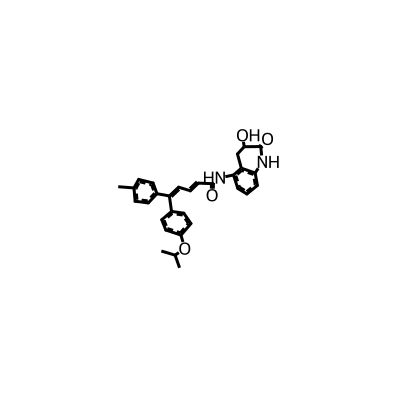 Cc1ccc(C(=CC=CC(=O)Nc2cccc3c2CC(O)C(=O)N3)c2ccc(OC(C)C)cc2)cc1